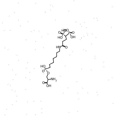 NC(COP(=O)(O)CCCCCCCNC(=O)CCC(P(=O)(O)O)P(=O)(O)O)C(=O)O